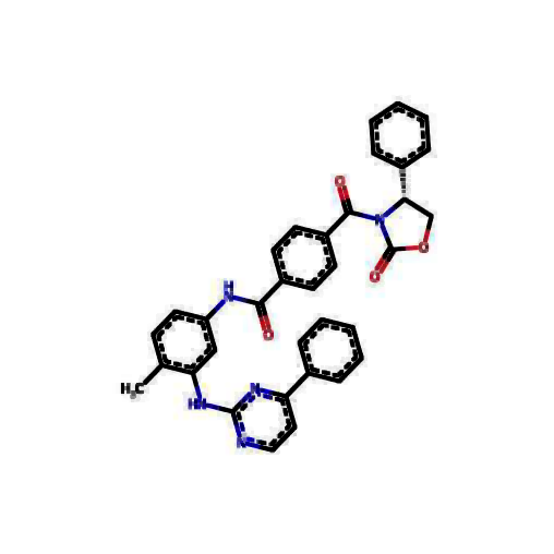 Cc1ccc(NC(=O)c2ccc(C(=O)N3C(=O)OC[C@H]3c3ccccc3)cc2)cc1Nc1nccc(-c2ccccc2)n1